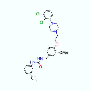 COc1cc(CNC(=O)Nc2cccc(C(F)(F)F)c2)ccc1OCCN1CCN(c2cccc(Cl)c2Cl)CC1